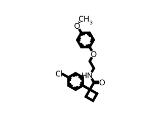 COc1ccc(OCCNC(=O)C2(c3ccc(Cl)cc3)CCC2)cc1